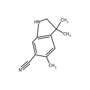 Cc1cc2c(cc1C#N)NCC2(C)C